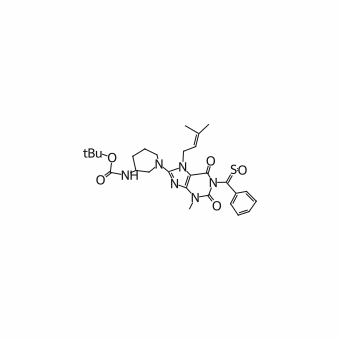 CC(C)=CCn1c(N2CCCC(NC(=O)OC(C)(C)C)C2)nc2c1c(=O)n(C(=S=O)c1ccccc1)c(=O)n2C